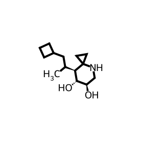 CC(CC1CCC1)[C@@H]1[C@@H](O)[C@H](O)CNC12CC2